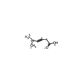 CN(C)C#CCC(=O)O